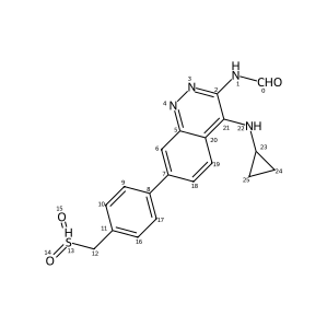 O=CNc1nnc2cc(-c3ccc(C[SH](=O)=O)cc3)ccc2c1NC1CC1